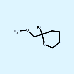 COCC1(O)CCCCO1